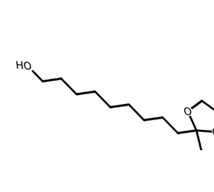 CC1(CCCCCCCCCO)OCCO1